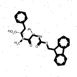 CC(C)[C@H](NC(=O)OCC1c2ccccc2-c2ccccc21)C(=O)N(C)[C@@H](Cc1ccccc1)C(=O)O